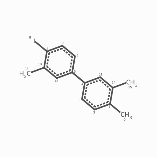 Cc1ccc(-c2ccc(I)c(C)c2)cc1C